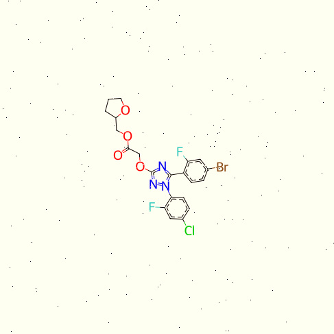 O=C(COc1nc(-c2ccc(Br)cc2F)n(-c2ccc(Cl)cc2F)n1)OCC1CCCO1